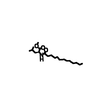 CCCCCCCCCCCCC(=O)N[C@@H](CC(C)C)C(=O)OC